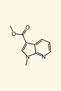 COC(=O)c1cn(C)c2ncccc12